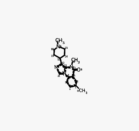 Cc1ccc2c(c1)c(=O)n(C)c1c(C3CCN(C)CC3)ncn21